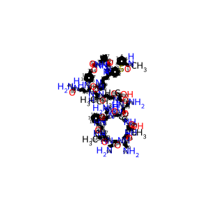 CNC(=O)c1ccccc1Sc1ccc2c(/C=C/c3ccccn3)nn(C(=O)NC3(CNC(=O)OCc4ccc(NC(=O)[C@H](CCCNC(N)=O)NC(=O)[C@@H](NC(=O)CCC(=O)N[C@H](C(=O)N[C@@H](CCN)C(=O)N[C@H]5CCNC(=O)[C@H]([C@@H](C)O)NC(=O)[C@H](CCCN)NC(=O)[C@H](CCN)NC(=O)[C@H](CC(C)C)NC(=O)[C@@H](Cc6ccccc6)NC(=O)[C@H](CCN)NC5=O)[C@@H](C)O)C(C)C)cc4)CCC3)c2c1